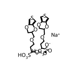 CC(CCOCC1COc2cscc2O1)S(=O)(=O)O.CC(CCOCC1COc2cscc2O1)S(=O)(=O)[O-].[Na+]